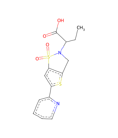 CCC(C(=O)O)N1Cc2sc(-c3ccccn3)cc2S1(=O)=O